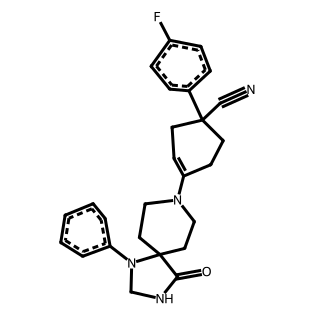 N#CC1(c2ccc(F)cc2)CC=C(N2CCC3(CC2)C(=O)NCN3c2ccccc2)CC1